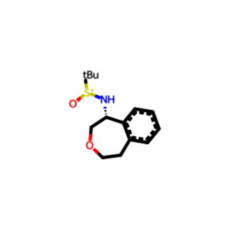 CC(C)(C)[S+]([O-])N[C@H]1COCCc2ccccc21